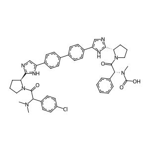 CN(C)C(C(=O)N1CCC[C@H]1c1ncc(-c2ccc(-c3ccc(-c4cnc([C@@H]5CCCN5C(=O)[C@@H](c5ccccc5)N(C)C(=O)O)[nH]4)cc3)cc2)[nH]1)c1ccc(Cl)cc1